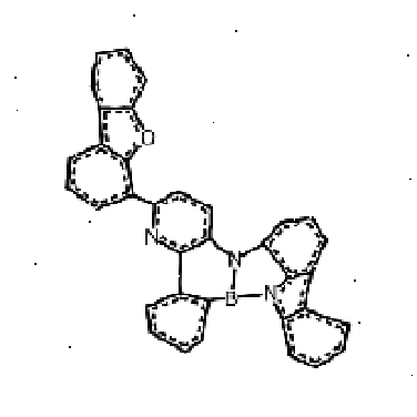 c1ccc2c(c1)B1N(c3ccc(-c4cccc5c4oc4ccccc45)nc3-2)c2cccc3c4ccccc4n1c23